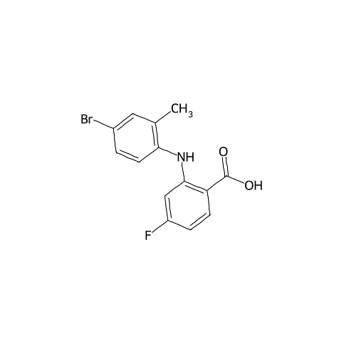 Cc1cc(Br)ccc1Nc1cc(F)ccc1C(=O)O